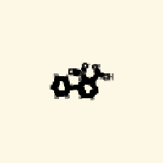 O=C(O)c1cccc(-c2ccccc2)c1[N+](=O)[O-]